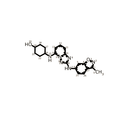 Cc1noc2cc(Nc3nc4cccc(NC5CCC(O)CC5)n4n3)ccc12